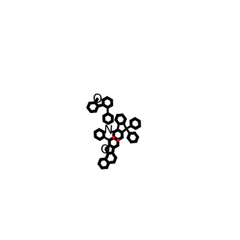 c1ccc(C2(c3ccccc3)c3ccccc3-c3c(N(c4ccc(-c5cccc6oc7ccccc7c56)cc4)c4ccccc4-c4cccc5c4oc4c6ccccc6ccc54)cccc32)cc1